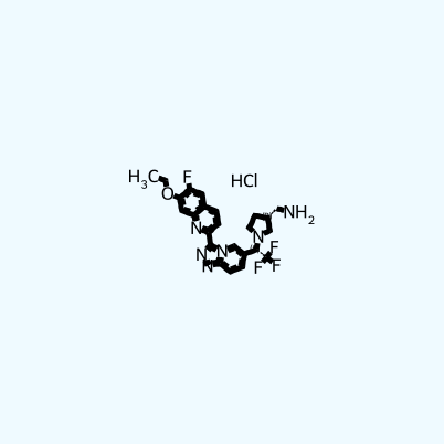 CCOc1cc2nc(-c3nnc4ccc([C@H](N5CC[C@H](CN)C5)C(F)(F)F)cn34)ccc2cc1F.Cl